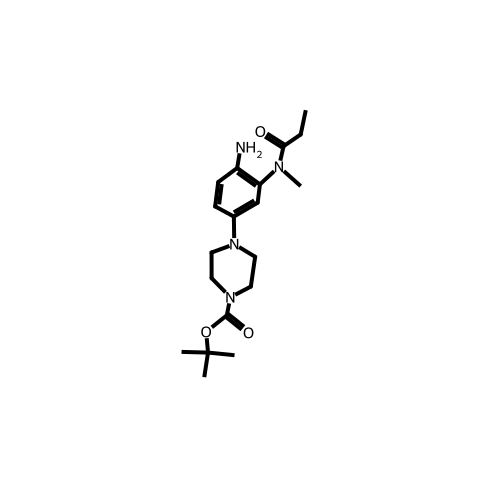 CCC(=O)N(C)c1cc(N2CCN(C(=O)OC(C)(C)C)CC2)ccc1N